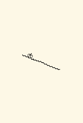 CCCCCCCCCCCCCCCCCCCCCCC(CCCCCC)OC(C)=O